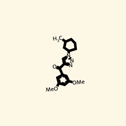 COc1cc(OC)cc(C(=O)c2cn(C3CCCC(C)C3)nn2)c1